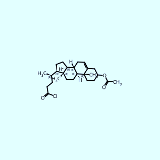 CC(=O)OC1CC[C@@]2(C)C(=CC[C@H]3[C@@H]4CC[C@H]([C@H](C)CCC(=O)Cl)[C@@]4(C)CC[C@@H]32)C1